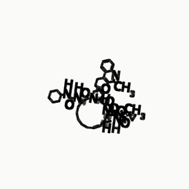 Cc1nc2ccccc2c2c1O[C@]1(CC2)C[C@H]2C(=O)N[C@]3(C(=O)NS(=O)(=O)C4(C)CC4)C[C@H]3C=CCCCCC[C@H](NC(=O)NC3CCCCC3)C(=O)N2C1